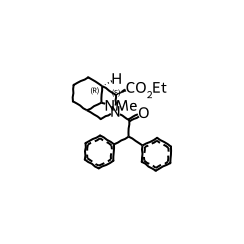 CCOC(=O)[C@@H]1[C@@H]2CCCC(CN1C(=O)C(c1ccccc1)c1ccccc1)C2NC